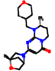 O=c1cc(N2C[C@@H]3CC2CO3)nc2n1CC[C@@H](C(F)(F)F)N2CC1CCOCC1